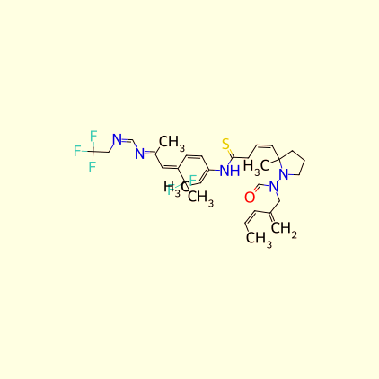 C=C(/C=C\C)CN(C=O)N1CCCC1(C)/C=C\CC(=S)NC(/C=C\C(=C/C(C)=N/C=N\CC(F)(F)F)C(C)(F)F)=C/C